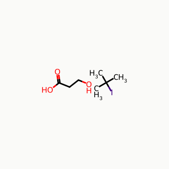 CC(C)(C)I.O=C(O)CCO